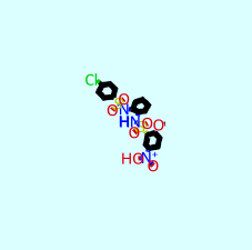 COc1ccc([N+](=O)O)cc1S(=O)(=O)Nc1ccccc1NS(=O)(=O)c1ccc(Cl)cc1